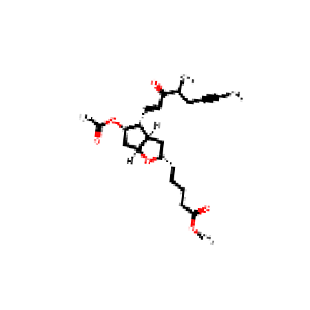 CC#CCC(C)C(=O)C=C[C@@H]1[C@H]2C[C@H](CCCCC(=O)OC)O[C@H]2C[C@H]1OC(C)=O